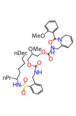 CCCCCCCCCCCCCCC(CCC)NS(=O)(=O)c1ccccc1CNC(=O)OCC(COC(=O)NCC1=CC=CCN1C(=O)c1ccccc1OC)OC